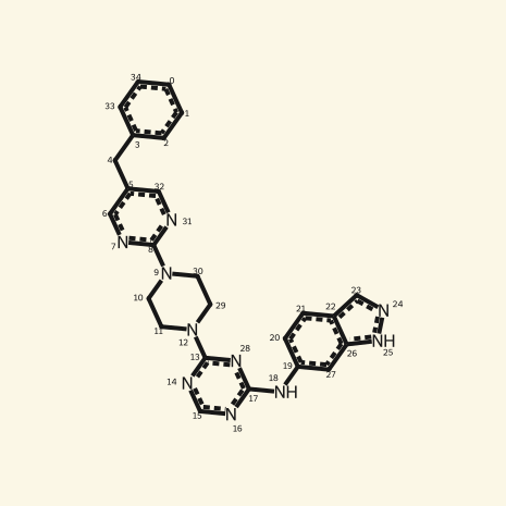 c1ccc(Cc2cnc(N3CCN(c4ncnc(Nc5ccc6cn[nH]c6c5)n4)CC3)nc2)cc1